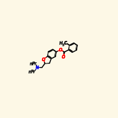 CCCN(CCC)CC1Cc2cc(OC(=O)c3ccccc3C)ccc2O1